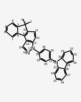 CC1(C)c2ccccc2-c2c1ccc1c2cnn1-c1ccc(-n2c3ccccc3c3ccccc32)cc1